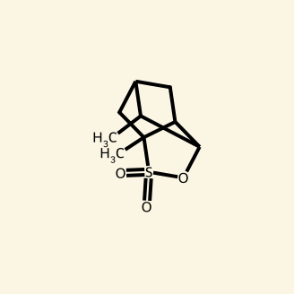 CC1C2CC3C1OS(=O)(=O)C3(C)C2